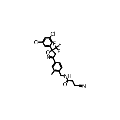 Cc1cc(C2=NOC(c3cc(Cl)cc(Cl)c3)(C(F)(F)F)C2)ccc1CNC(=O)CCC#N